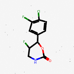 O=C1NCC(F)C(c2ccc(Cl)c(F)c2)O1